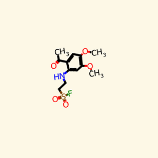 COc1cc(NCCS(=O)(=O)F)c(C(C)=O)cc1OC